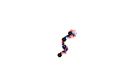 O=C(COCc1ccccc1)N1CCOC2(CCN(CCOc3ccc(CNC[C@H](O)c4ccc(O)c5[nH]c(=O)sc45)cc3)CC2)C1